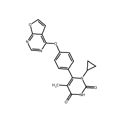 Cc1c(-c2ccc(Oc3ncnc4occc34)cc2)n(C2CC2)c(=O)[nH]c1=O